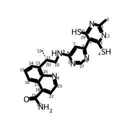 Cc1nc(S)c(-c2cc(NC[C@@H](C)c3cccc4c(C(N)=O)ccnc34)ncn2)c(S)n1